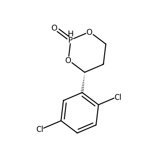 O=[PH]1OCC[C@H](c2cc(Cl)ccc2Cl)O1